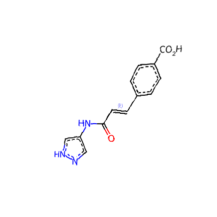 O=C(/C=C/c1ccc(C(=O)O)cc1)Nc1cn[nH]c1